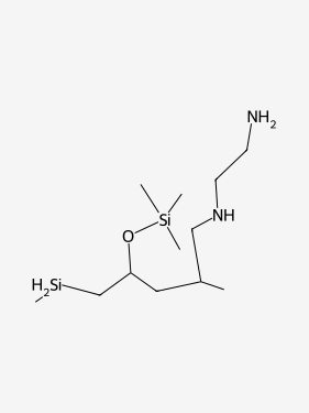 C[SiH2]CC(CC(C)CNCCN)O[Si](C)(C)C